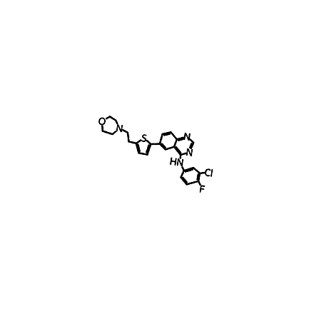 Fc1ccc(Nc2ncnc3ccc(-c4ccc(CCN5CCOCC5)s4)cc23)cc1Cl